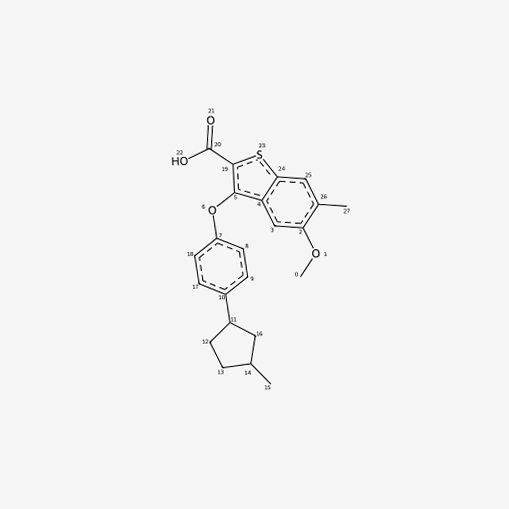 COc1cc2c(Oc3ccc(C4CCC(C)C4)cc3)c(C(=O)O)sc2cc1C